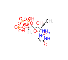 CC#CC1(N)C(O)[C@@H]([C@H](C)OP(=O)(O)OP(=O)(O)OP(=O)(O)O)O[C@H]1n1ccc(=O)[nH]c1=O